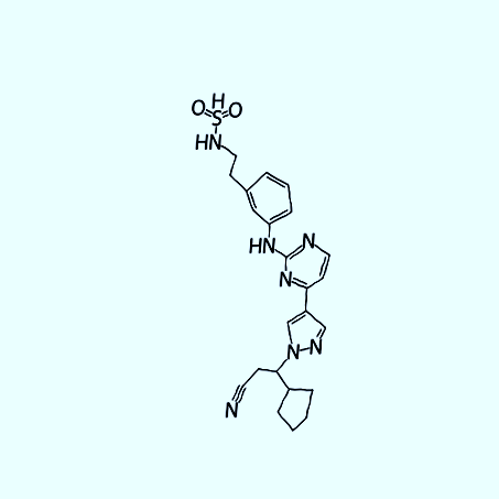 N#CCC(C1CCCC1)n1cc(-c2ccnc(Nc3cccc(CCN[SH](=O)=O)c3)n2)cn1